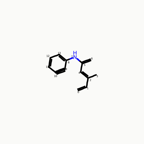 C=C/C(C)=C/C(=C)Nc1c#cccc1